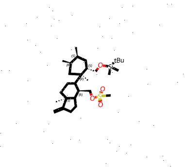 C=C1CCC2[C@H](COS(C)(=O)=O)C([C@@]3(C)C[C@@H](C)[C@@H](C)C[C@@H]3CO[Si](C)(C)C(C)(C)C)CC[C@]12C